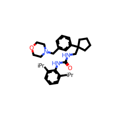 CC(C)c1cccc(C(C)C)c1NC(=O)NCC1(c2cccc(CN3CCOCC3)c2)CCCC1